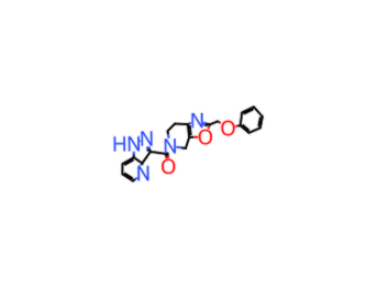 O=C(c1n[nH]c2cccnc12)N1CCc2nc(COc3ccccc3)oc2C1